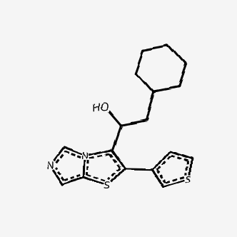 OC(CC1CCCCC1)c1c(-c2ccsc2)sc2cncn12